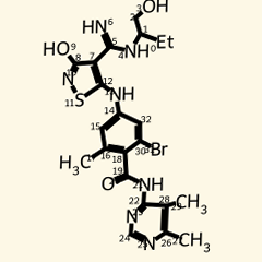 CCC(CO)NC(=N)c1c(O)nsc1Nc1cc(C)c(C(=O)Nc2ncnc(C)c2C)c(Br)c1